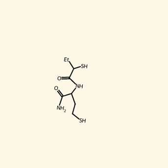 CCC(S)C(=O)NC(CCS)C(N)=O